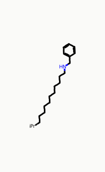 CC(C)CCCCCCCCCCCNCc1ccccc1